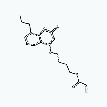 C=CC(=O)OCCCCOc1cc(=O)sc2c(CCC)cccc12